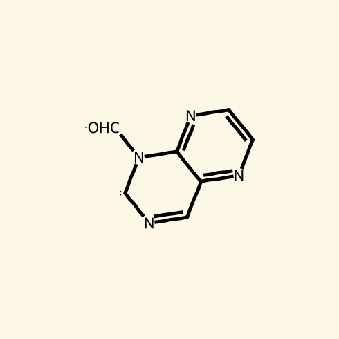 O=[C]N1[C]N=Cc2nccnc21